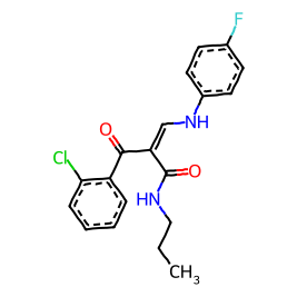 CCCNC(=O)C(=CNc1ccc(F)cc1)C(=O)c1ccccc1Cl